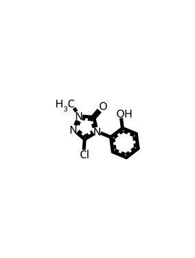 Cn1nc(Cl)n(-c2ccccc2O)c1=O